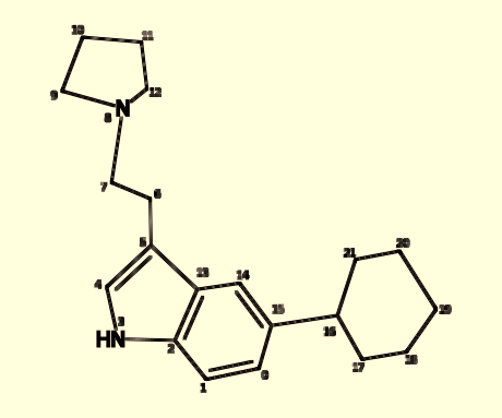 c1cc2[nH]cc(CCN3CCCC3)c2cc1C1CCCCC1